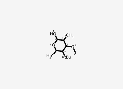 CC1OC(O)C(C)C(OI)C1C(C)(C)C